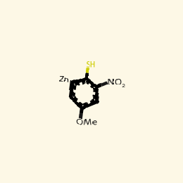 COc1ccc(S)c([N+](=O)[O-])c1.[Zn]